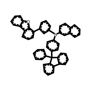 c1ccc(C2(c3ccc(N(c4cccc(-c5cccc6c5oc5ccccc56)c4)c4ccc5ccccc5c4)cc3)c3ccccc3-c3ccccc32)cc1